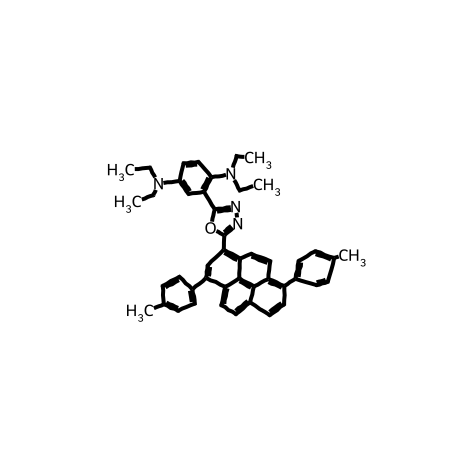 CCN(CC)c1ccc(N(CC)CC)c(-c2nnc(-c3cc(-c4ccc(C)cc4)c4ccc5ccc(-c6ccc(C)cc6)c6ccc3c4c56)o2)c1